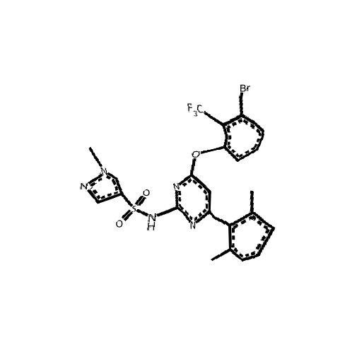 Cc1cccc(C)c1-c1cc(Oc2cccc(Br)c2C(F)(F)F)nc(NS(=O)(=O)c2cnn(C)c2)n1